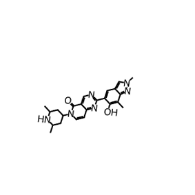 Cc1c(O)c(-c2ncc3c(=O)n(C4CC(C)NC(C)C4)ccc3n2)cc2cn(C)nc12